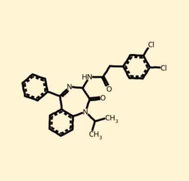 CC(C)N1C(=O)C(NC(=O)Cc2ccc(Cl)c(Cl)c2)N=C(c2ccccc2)c2ccccc21